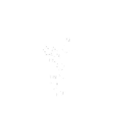 Cc1ccc(C(=O)Nc2cccc(C(F)(F)F)c2)cc1Nc1nc(-c2cccc(N)c2)nc2c1cnn2C